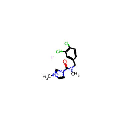 CN(Cc1ccc(Cl)c(Cl)c1)C(=O)n1cc[n+](C)c1.[I-]